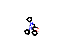 c1ccc(N2CC3=C(c4ccccc4OC3)N(c3ccccc3)C2)cc1